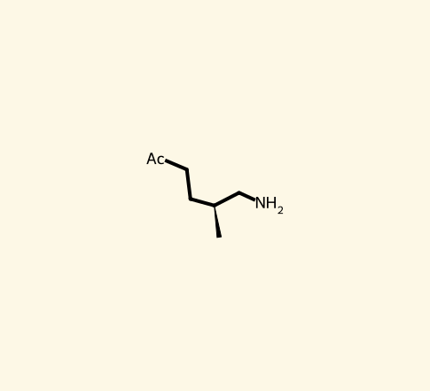 CC(=O)CC[C@H](C)CN